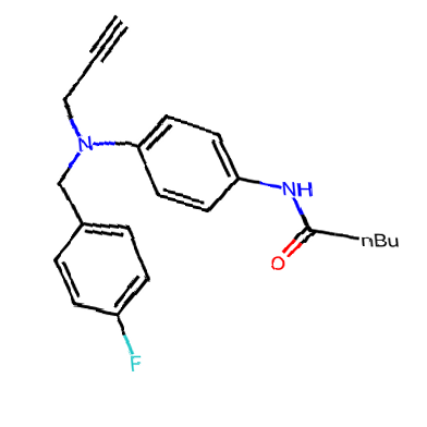 C#CCN(Cc1ccc(F)cc1)c1ccc(NC(=O)CCCC)cc1